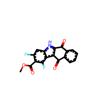 COC(=O)c1c(F)cc2[nH]c3c(c2c1F)C(=O)c1ccccc1C3=O